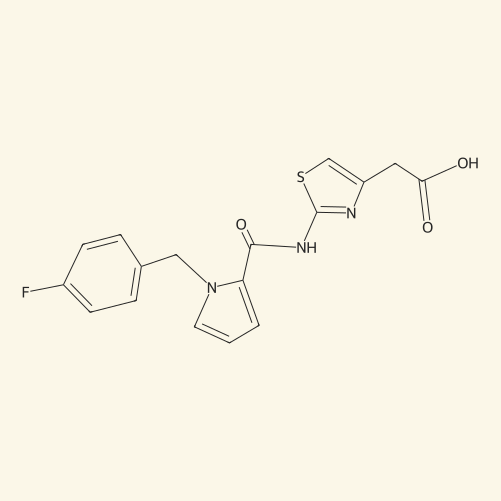 O=C(O)Cc1csc(NC(=O)c2cccn2Cc2ccc(F)cc2)n1